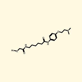 CC(=O)SCC(=O)NCCCCCC(=O)Nc1ccc(OCCN(C)C)cc1